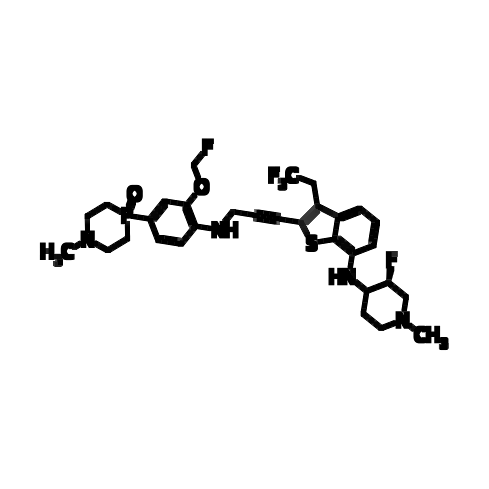 CN1CCP(=O)(c2ccc(NCC#Cc3sc4c(NC5CCN(C)C[C@@H]5F)cccc4c3CC(F)(F)F)c(OCF)c2)CC1